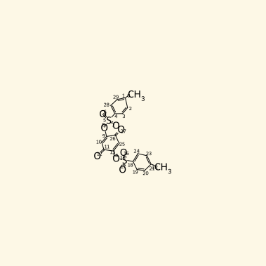 Cc1ccc(S(=O)(=O)OC2=CC(=O)C(OS(=O)(=O)c3ccc(C)cc3)=CC2=O)cc1